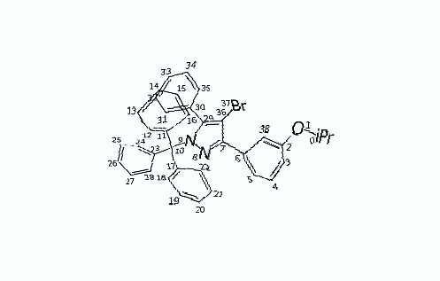 CC(C)Oc1cccc(-c2nn(C(c3ccccc3)(c3ccccc3)c3ccccc3)c(-c3ccccc3)c2Br)c1